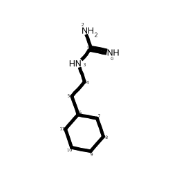 N=C(N)NCCC1CCCCC1